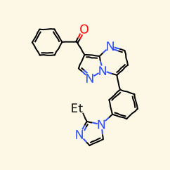 CCc1nccn1-c1cccc(-c2ccnc3c(C(=O)c4ccccc4)cnn23)c1